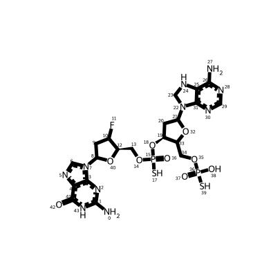 Nc1nc2c(ncn2C2CC(F)[C@@H](COP(=O)(S)O[C@H]3CC(N4CNc5c(N)ncnc54)OC3COP(=O)(O)S)O2)c(=O)[nH]1